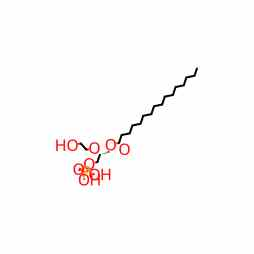 CCCCCCCCCCCCCCCC(=O)OC[C@H](COP(=O)(O)O)OCCO